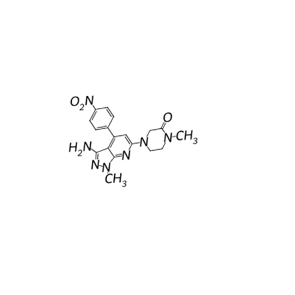 CN1CCN(c2cc(-c3ccc([N+](=O)[O-])cc3)c3c(N)nn(C)c3n2)CC1=O